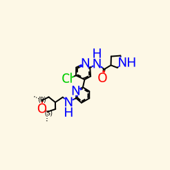 C[C@@H]1CC(CNc2cccc(-c3cc(NC(=O)C4CCNC4)ncc3Cl)n2)C[C@H](C)O1